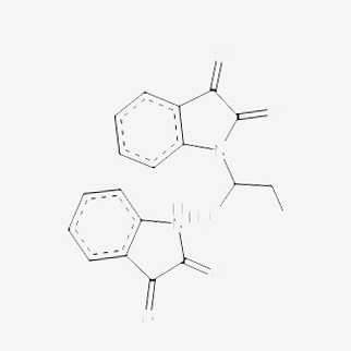 CC(CF)N1C(=O)C(=O)c2ccccc21.O=C1Nc2ccccc2C1=O